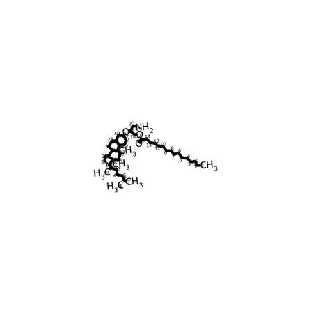 CCCCCCCCCCCCCCCC(=O)OCC(CN)OC1CC[C@@]2(C)C(=CCC3C2CC[C@@]2(C)C3CC[C@@H]2[C@H](C)CCCC(C)C)C1